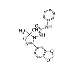 CC1(C)ON=C(c2ccc3c(c2)OCO3)N1NC(=O)Nc1ccccc1